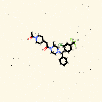 CC(=O)N1CCC(CC(=O)N2CCN(C(c3ccccc3)c3ccc(C(F)(F)F)cc3Cl)CC2C)CC1